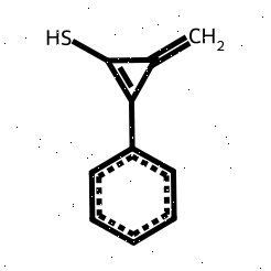 C=C1C(S)=C1c1ccccc1